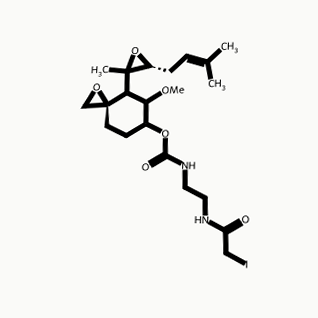 COC1C(OC(=O)NCCNC(=O)CI)CC[C@]2(CO2)C1C1(C)O[C@@H]1CC=C(C)C